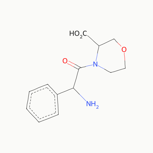 NC(C(=O)N1CCOCC1C(=O)O)c1ccccc1